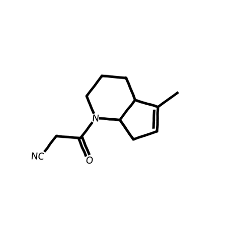 CC1=CCC2C1CCCN2C(=O)CC#N